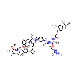 CC[C@H](C)[C@@H]([C@@H](CC(=O)N1CCC[C@H]1[C@H](OC)[C@@H](C)C(=O)N[C@@H](Cc1ccccc1)C(=O)NCc1ccc(NC(=O)[C@H](CCCNC(N)=O)NC(=O)[C@@H](NC(=O)CCCN2CC[C@@H](C(=O)NC(C)C)C[C@H]2C(F)(F)F)C(C)C)cc1)OC)N(C)C(=O)[C@@H](NC(=O)[C@H](C(C)C)N(C)C)C(C)C